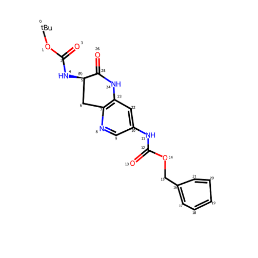 CC(C)(C)OC(=O)N[C@@H]1Cc2ncc(NC(=O)OCc3ccccc3)cc2NC1=O